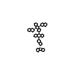 c1ccc2cc(-c3c4ccccc4c(-c4ccc5ccccc5c4)c4cc(-c5c6ccccc6c(-c6ccc7cc(-n8c9ccccc9c9ccccc98)ccc7c6)c6ccccc56)ccc34)ccc2c1